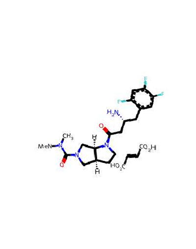 CNN(C)C(=O)N1C[C@@H]2CCN(C(=O)C[C@H](N)Cc3cc(F)c(F)cc3F)[C@@H]2C1.O=C(O)/C=C/C(=O)O